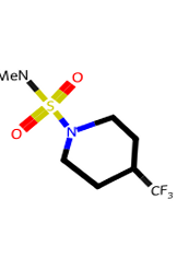 CNS(=O)(=O)N1CCC(C(F)(F)F)CC1